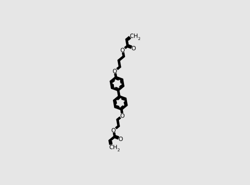 C=CC(=O)OCCCOc1ccc(-c2ccc(OCCOC(=O)C=C)cc2)cc1